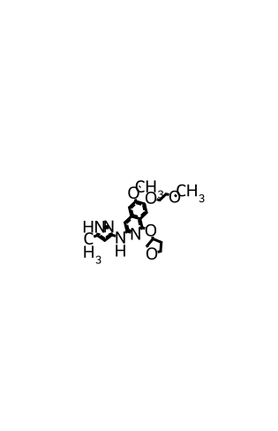 COCCOc1cc2c(OC3CCOC3)nc(Nc3cc(C)[nH]n3)cc2cc1OC